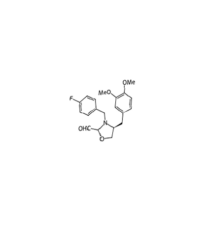 COc1ccc(C[C@H]2COC(C=O)N2Cc2ccc(F)cc2)cc1OC